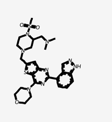 CN(C)CC1CN(Cc2cc3nc(-c4cccc5[nH]ncc45)nc(N4CCOCC4)c3s2)CCN1S(C)(=O)=O